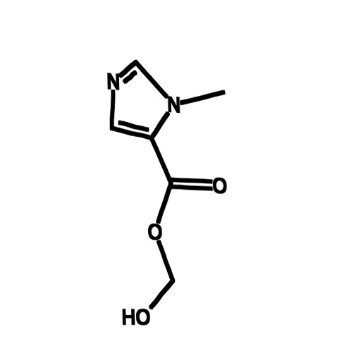 Cn1cncc1C(=O)OCO